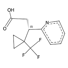 O=C(O)C[C@H](c1ccccn1)C1(C(F)(F)F)CC1